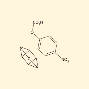 C1C2C3C2C2C1C32.O=C(O)Oc1ccc([N+](=O)[O-])cc1